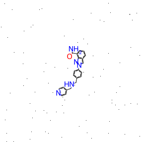 NC(=O)c1cccc2cn(-c3ccc(CNCc4ccncc4)cc3)nc12